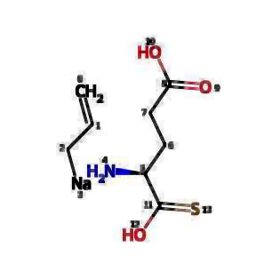 C=C[CH2][Na].N[C@@H](CCC(=O)O)C(O)=S